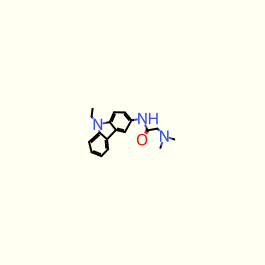 CCn1c2ccccc2c2cc(NC(=O)CN(C)C)ccc21